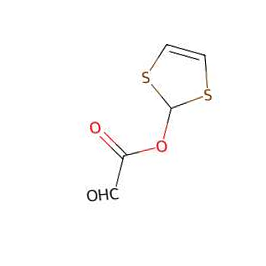 O=CC(=O)OC1SC=CS1